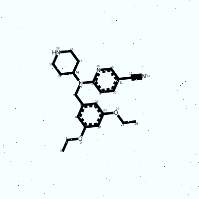 CCOc1cc(CN(c2ccc(C#N)cn2)C2CCNCC2)cc(OCC)c1